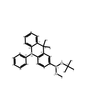 COB(OC(C)(C)C)c1ccc2c(c1)C(C)(C)c1ccccc1N2c1ccccc1